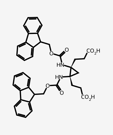 O=C(O)CC[C@@]1(NC(=O)OCC2c3ccccc3-c3ccccc32)C[C@]1(CCC(=O)O)NC(=O)OCC1c2ccccc2-c2ccccc21